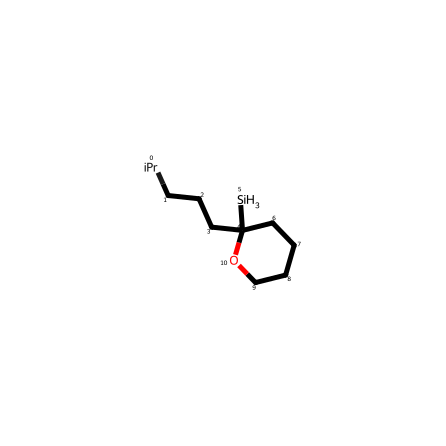 CC(C)CCCC1([SiH3])CCCCO1